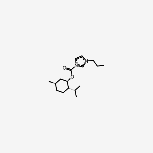 CCCn1cc[n+](C(=O)O[C@@H]2C[C@H](C)CC[C@H]2C(C)C)c1